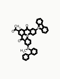 CC(=O)c1cc2c(=O)c3cc(N(C)c4ccccc4-c4ccccc4)ccc3n3c4ccc(-n5c6ccccc6c6ccccc65)cc4c(=O)c(c1)c23